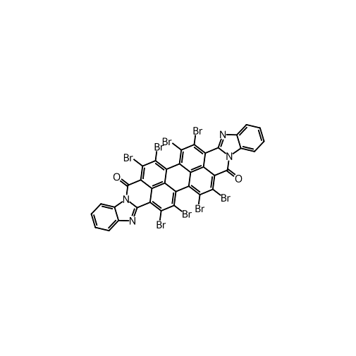 O=c1c2c(Br)c(Br)c3c4c(Br)c(Br)c5c6c(c(Br)c(Br)c(c7c(Br)c(Br)c(c2c37)c2nc3ccccc3n12)c46)c(=O)n1c2ccccc2nc51